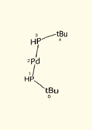 CC(C)(C)[PH][Pd][PH]C(C)(C)C